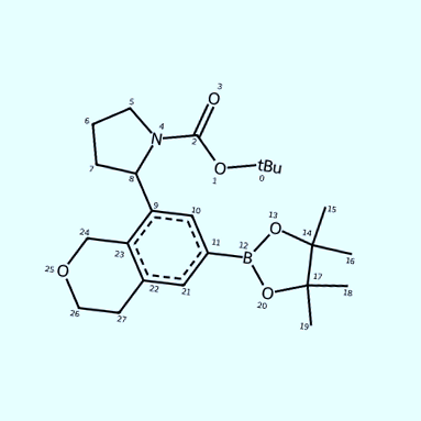 CC(C)(C)OC(=O)N1CCCC1c1cc(B2OC(C)(C)C(C)(C)O2)cc2c1COCC2